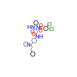 O=C(CC1C(=O)Nc2ccccc2N1S(=O)(=O)c1ccc(Cl)c(Cl)c1)NC1CCC(C(CCc2ccccc2)N2CCCCC2)CC1